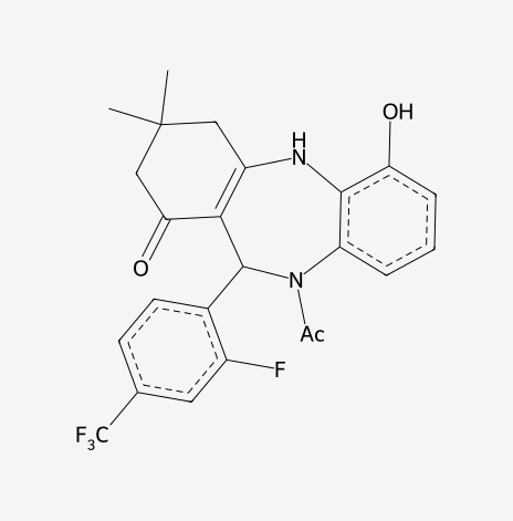 CC(=O)N1c2cccc(O)c2NC2=C(C(=O)CC(C)(C)C2)C1c1ccc(C(F)(F)F)cc1F